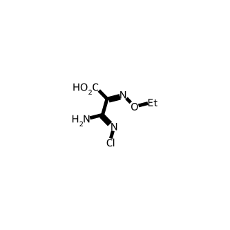 CCON=C(C(=O)O)C(N)=NCl